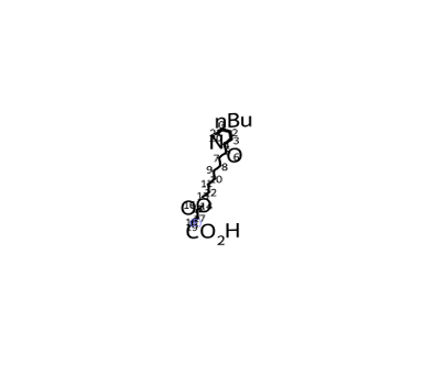 CCCCc1ccc(C(=O)CCCCCCCOC(=O)/C=C/C(=O)O)nc1